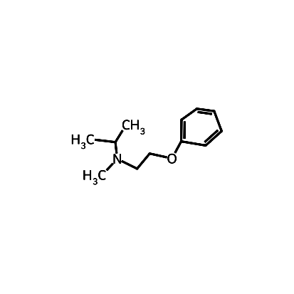 CC(C)N(C)CCOc1ccccc1